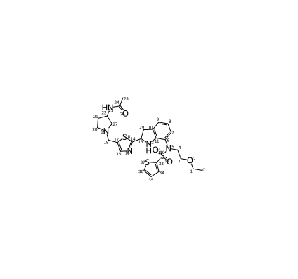 CCOCCN(c1cccc2c1NC(c1ncc(CN3CCC(NC(C)=O)C3)s1)C2)S(=O)(=O)c1cccs1